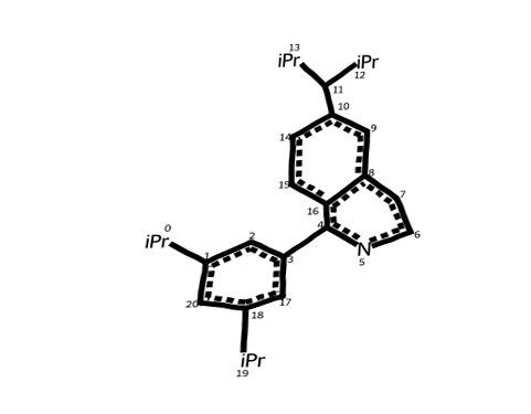 CC(C)c1cc(-c2nccc3cc(C(C(C)C)C(C)C)ccc23)cc(C(C)C)c1